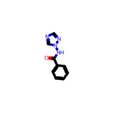 O=C(Nn1cncn1)c1ccccc1